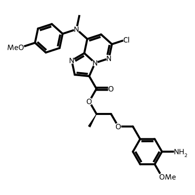 COc1ccc(N(C)c2cc(Cl)nn3c(C(=O)O[C@H](C)COCc4ccc(OC)c(N)c4)cnc23)cc1